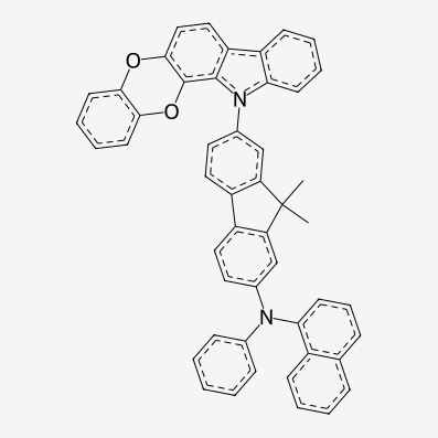 CC1(C)c2cc(N(c3ccccc3)c3cccc4ccccc34)ccc2-c2ccc(-n3c4ccccc4c4ccc5c(c43)Oc3ccccc3O5)cc21